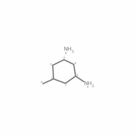 CC1CCCC(N)C1.N